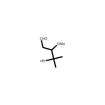 CCCC(C)(C)C(CC=O)OC